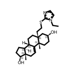 CCn1ccnc1SCC[C@]12CC[C@@H]3C(=CC[C@]4(C)[C@@H](O)CC[C@@H]34)[C@@]1(C)CC[C@H](O)C2